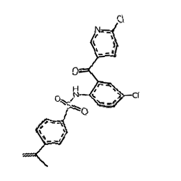 C=C(C)c1ccc(S(=O)(=O)Nc2ccc(Cl)cc2C(=O)c2ccc(Cl)nc2)cc1